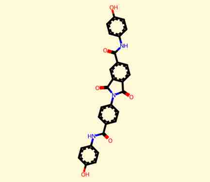 O=C(Nc1ccc(O)cc1)c1ccc(N2C(=O)c3ccc(C(=O)Nc4ccc(O)cc4)cc3C2=O)cc1